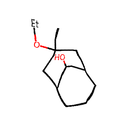 CCOC1(C)CC2CCCC(C1)C2O